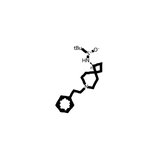 CC(C)(C)[S+]([O-])N[C@@H]1CCC12CCN(CCc1ccccc1)CC2